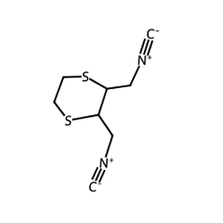 [C-]#[N+]CC1SCCSC1C[N+]#[C-]